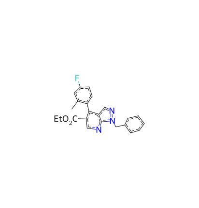 CCOC(=O)c1cnc2c(cnn2Cc2ccccc2)c1-c1ccc(F)cc1C